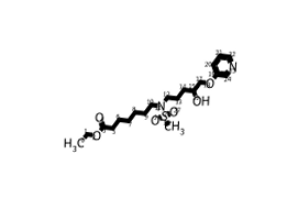 CCOC(=O)CCCCCCN(CCCC(O)COc1cccnc1)S(C)(=O)=O